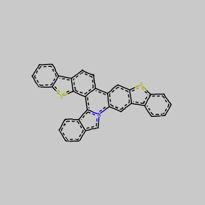 c1ccc2c(c1)cn1c3cc4c(cc3c3ccc5c6ccccc6sc5c3c21)sc1ccccc14